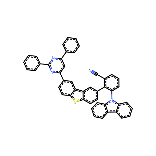 N#Cc1cccc(-n2c3ccccc3c3ccccc32)c1-c1ccc2sc3ccc(-c4cc(-c5ccccc5)nc(-c5ccccc5)n4)cc3c2c1